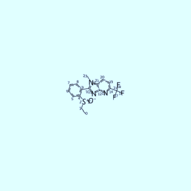 CC[S+]([O-])c1ccccc1-c1nc2nc(C(F)(F)F)ccc2n1C